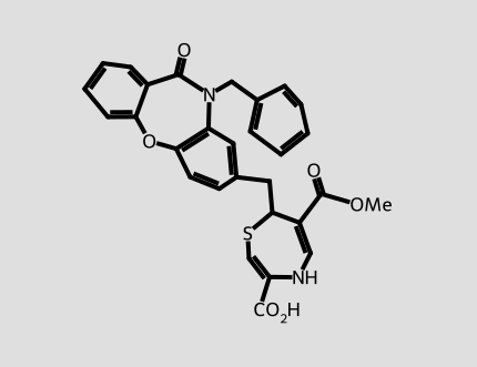 COC(=O)C1=CNC(C(=O)O)=CSC1Cc1ccc2c(c1)N(Cc1ccccc1)C(=O)c1ccccc1O2